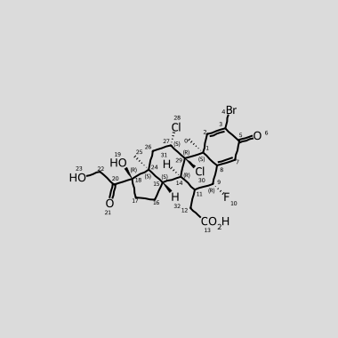 C[C@]12C=C(Br)C(=O)C=C1[C@H](F)C(CC(=O)O)[C@H]1[C@@H]3CC[C@](O)(C(=O)CO)[C@@]3(C)C[C@H](Cl)[C@@]12Cl